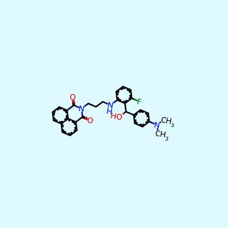 CN(C)c1ccc(C(O)c2c(F)cccc2NCCCN2C(=O)c3cccc4cccc(c34)C2=O)cc1